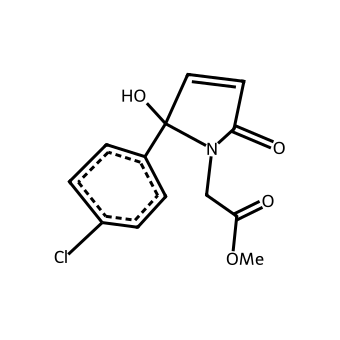 COC(=O)CN1C(=O)C=CC1(O)c1ccc(Cl)cc1